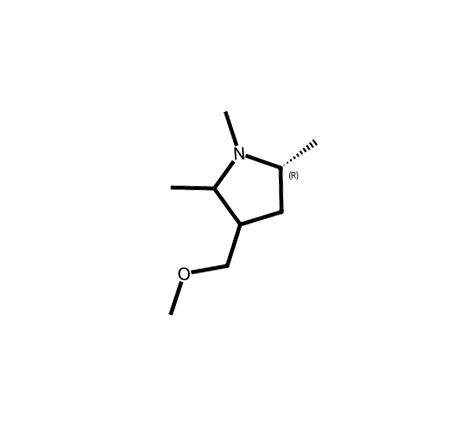 COCC1C[C@@H](C)N(C)C1C